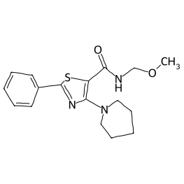 COCNC(=O)c1sc(-c2ccccc2)nc1N1CCCCC1